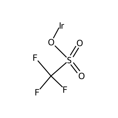 O=S(=O)([O][Ir])C(F)(F)F